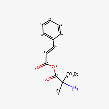 CCOC(=O)C(N)(CC)C(=O)OC(=O)C=Cc1ccccc1